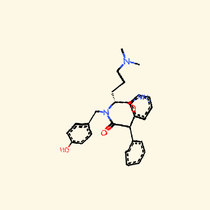 CN(C)CCC[C@H](C(N)=O)N(Cc1ccc(O)cc1)C(=O)C(c1ccccc1)c1ccccc1